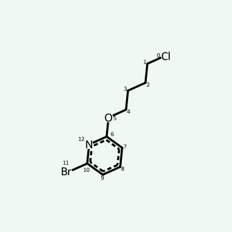 ClCCCCOc1cccc(Br)n1